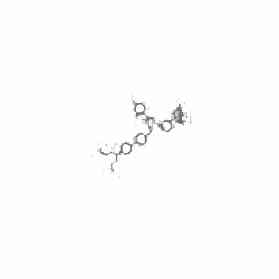 C=C(C)CCC(CC=C(C)C)c1ccc(-c2ccc(Cc3nc(-c4ccc(Cl)cc4Cl)cn3-c3cccc(N4CC(=O)NS4(=O)=O)c3)cc2)cc1